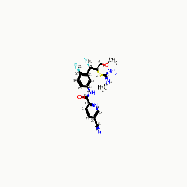 C/N=C(/N)S[C@H](COC)[C@H](F)c1cc(NC(=O)c2ccc(C#N)cn2)ccc1F